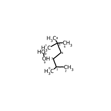 CC(C)CCC(C)(C)C.OO